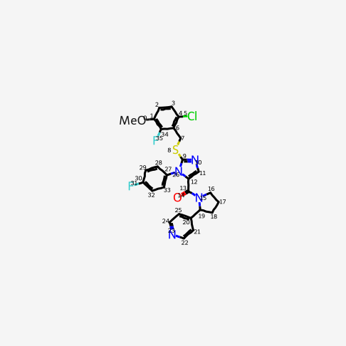 COc1ccc(Cl)c(CSc2ncc(C(=O)N3CCCC3c3ccncc3)n2-c2ccc(F)cc2)c1F